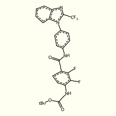 CC(C)(C)OC(=O)Nc1ccc(C(=O)Nc2ccc(-n3c(C(F)(F)F)nc4ccccc43)cc2)c(F)c1F